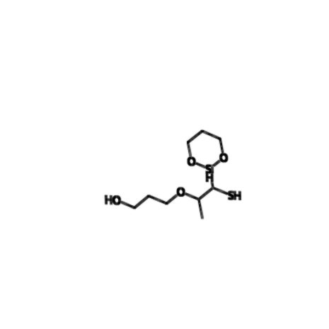 CC(OCCCO)C(S)[SiH]1OCCCO1